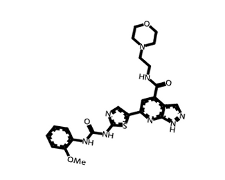 COc1ccccc1NC(=O)Nc1ncc(-c2cc(C(=O)NCCN3CCOCC3)c3cn[nH]c3n2)s1